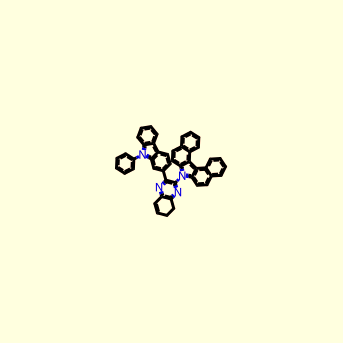 C1=Cc2nc(-c3ccc4c5ccccc5n(-c5ccccc5)c4c3)c(-n3c4ccc5ccccc5c4c4c5ccccc5ccc43)nc2CC1